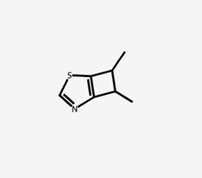 CC1c2ncsc2C1C